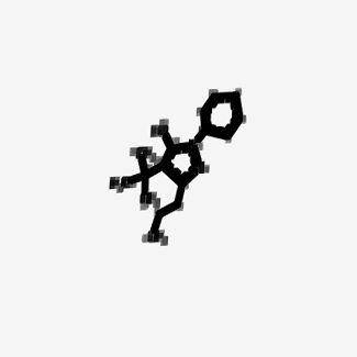 CCCc1nn(-c2ccccc2)c(O)c1C(C)(C)C